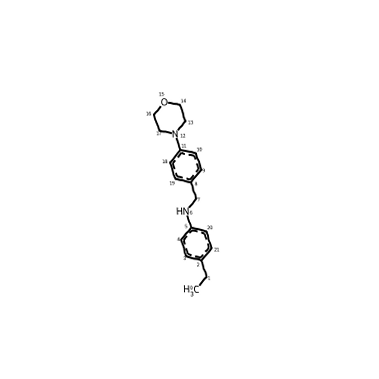 CCc1ccc(NCc2ccc(N3CCOCC3)cc2)cc1